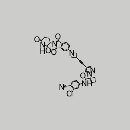 N#Cc1ccc(NC(=O)C2(n3cc(C#CC4CN(c5ccc6c(c5)C(=O)N(C5CCC(=O)NC5=O)C6=O)C4)cn3)CCC2)cc1Cl